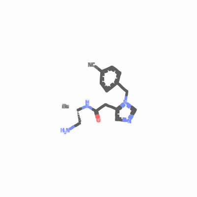 CC[C@H](C)[C@@H](CN)NC(=O)Cc1cncn1Cc1ccc(C#N)cc1